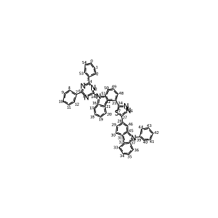 c1ccc(-c2nc(-c3ccccc3)nc(-n3c4ccccc4c4c(-c5nnc(-c6ccc7c8ccccc8n(-c8ccccc8)c7c6)s5)cccc43)n2)cc1